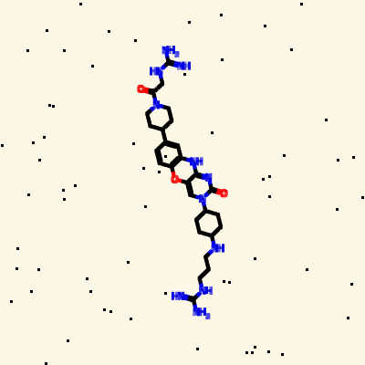 N=C(N)NCCCNC1CCC(n2cc3c(nc2=O)Nc2cc(C4CCN(C(=O)CNC(=N)N)CC4)ccc2O3)CC1